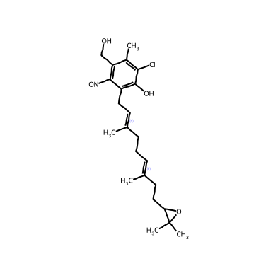 C/C(=C\Cc1c(O)c(Cl)c(C)c(CO)c1N=O)CC/C=C(\C)CCC1OC1(C)C